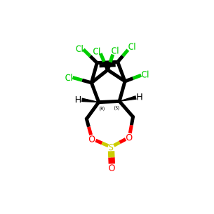 O=S1OC[C@@H]2[C@H](CO1)C1(Cl)C(Cl)=C(Cl)C2(Cl)C1(Cl)Cl